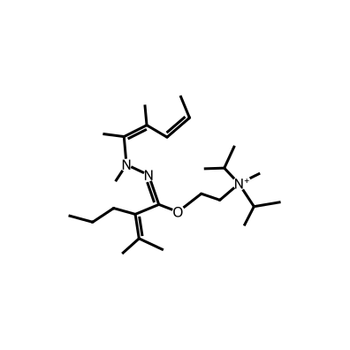 C/C=C\C(C)=C(\C)N(C)/N=C(/OCC[N+](C)(C(C)C)C(C)C)C(CCC)=C(C)C